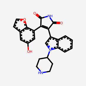 O=C1NC(=O)C(c2cc(O)cc3ccoc23)=C1c1cn(C2CCNCC2)c2ccccc12